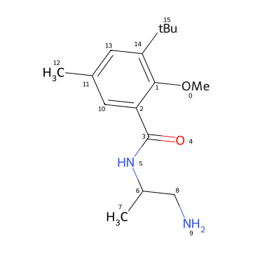 COc1c(C(=O)NC(C)CN)cc(C)cc1C(C)(C)C